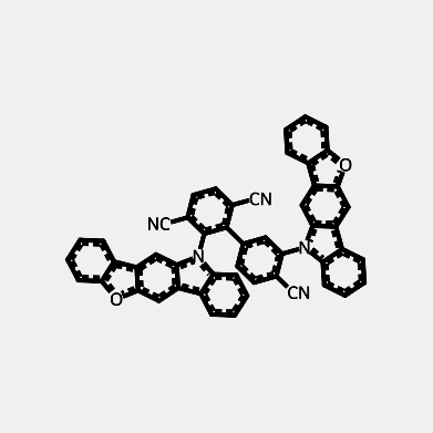 N#Cc1ccc(-c2c(C#N)ccc(C#N)c2-n2c3ccccc3c3cc4oc5ccccc5c4cc32)cc1-n1c2ccccc2c2cc3oc4ccccc4c3cc21